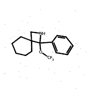 FC(F)(F)OC1(c2ccccc2)NCC12CCCCC2